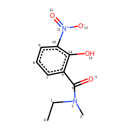 CCN(C)C(=O)c1cccc([N+](=O)[O-])c1O